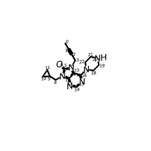 CC#CCn1c(=O)n(CC2CC2)c2ncnc(N3CCNCC3)c21